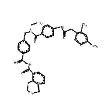 COc1ccc(CC(=O)Nc2ccc(C(=O)N(CC(=O)O)Cc3ccc(C(=N)NC(=O)c4cccc5c4CCNC5)cc3)cc2)c(C(F)(F)F)c1